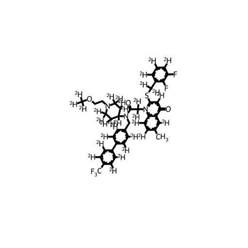 [2H]c1c([2H])c(F)c(F)c(C([2H])([2H])Sc2c([2H])c(=O)c3c([2H])c(C)c([2H])c([2H])c3n2C([2H])([2H])C(=O)N(Cc2c([2H])c([2H])c(-c3c([2H])c([2H])c(C(F)(F)F)c([2H])c3[2H])c([2H])c2[2H])C2([2H])C([2H])([2H])C([2H])([2H])N(CCOC([2H])([2H])[2H])C([2H])([2H])C2([2H])[2H])c1[2H]